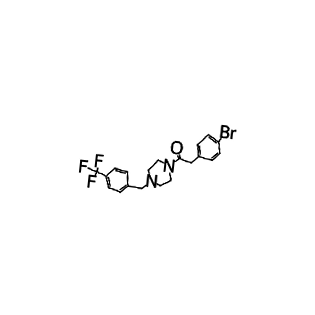 O=C(Cc1ccc(Br)cc1)N1CCN(Cc2ccc(C(F)(F)F)cc2)CC1